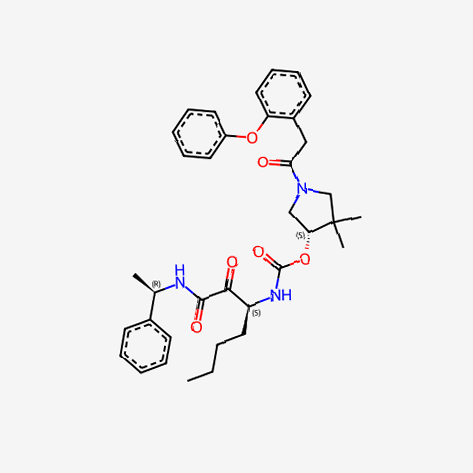 CCCC[C@H](NC(=O)O[C@@H]1CN(C(=O)Cc2ccccc2Oc2ccccc2)CC1(C)C)C(=O)C(=O)N[C@H](C)c1ccccc1